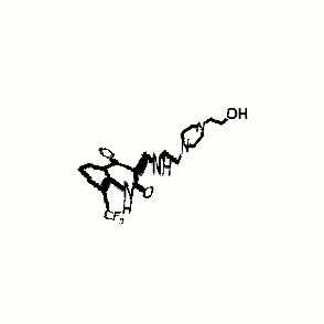 O=C1Nc2c(cccc2C(F)(F)F)C(=O)C1=CNCCN1CCN(CCO)CC1